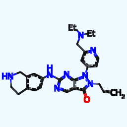 C=CCn1c(=O)c2cnc(Nc3ccc4c(c3)CNCC4)nc2n1-c1ccnc(CN(CC)CC)c1